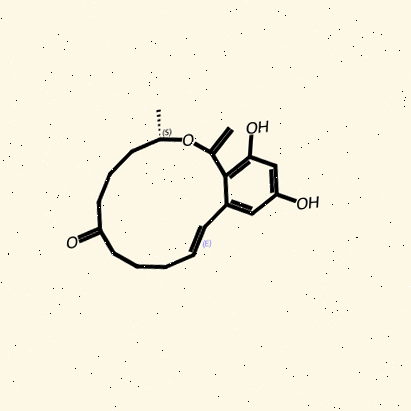 C=C1O[C@@H](C)CCCC(=O)CCC/C=C/c2cc(O)cc(O)c21